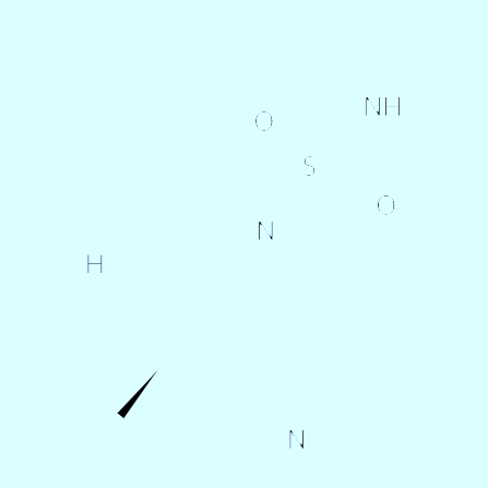 CNS(=O)(=O)N1C[C@@H]2[C@H](C)[C@]2(C#N)C1